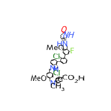 COc1cc(Cn2ncc3c(-c4cccc(-c5cc(F)c(CNC[C@@H]6CCC(=O)N6)c(OC)c5)c4Cl)cccc32)c(Cl)cc1CN(C)C12CCC(C(=O)O)(CC1)CC2